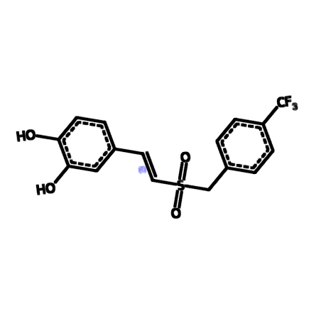 O=S(=O)(/C=C/c1ccc(O)c(O)c1)Cc1ccc(C(F)(F)F)cc1